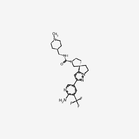 CN1CCC(CNC(=O)N2CC[C@@]3(CCn4nc(-c5cnc(N)c(C(F)(F)F)c5)cc43)C2)CC1